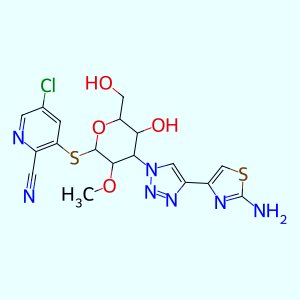 COC1C(Sc2cc(Cl)cnc2C#N)OC(CO)C(O)C1n1cc(-c2csc(N)n2)nn1